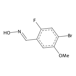 COc1cc(C=NO)c(F)cc1Br